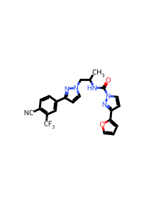 CC(Cn1ccc(-c2ccc(C#N)c(C(F)(F)F)c2)n1)NC(=O)n1ccc(-c2ccco2)n1